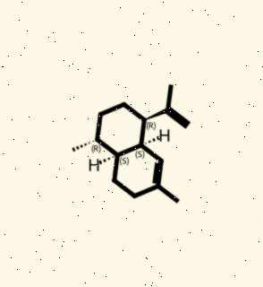 C=C(C)[C@@H]1CC[C@@H](C)[C@@H]2CCC(C)=C[C@@H]21